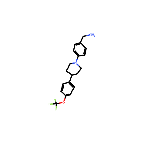 NCc1ccc(N2CCC(c3ccc(OC(F)(F)F)cc3)CC2)cc1